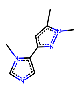 Cc1cc(-c2cncn2C)nn1C